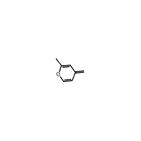 C=C1C=COC(C)=C1